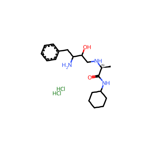 C[C@H](NCC(O)C(N)Cc1ccccc1)C(=O)NC1CCCCC1.Cl.Cl